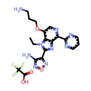 CCn1c(-c2nonc2N)nc2c(-c3ncccn3)ncc(OCCCN)c21.O=C(O)C(F)(F)F